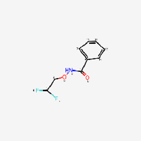 O=C(NOCC(F)F)c1ccccc1